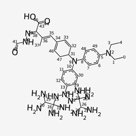 CCN(CC)c1ccc(N(c2ccc(N(NC(N)(N)C(N)N)NC(N)(N)C(N)N)cc2)C2C=CC(/C=C(C)/C(=N\NC=O)C(=O)O)=CC2)cc1